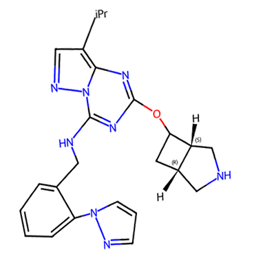 CC(C)c1cnn2c(NCc3ccccc3-n3cccn3)nc(OC3C[C@H]4CNC[C@@H]34)nc12